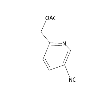 [C-]#[N+]c1ccc(COC(C)=O)nc1